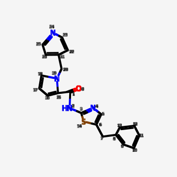 O=C(Nc1ncc(Cc2ccccc2)s1)c1cccn1Cc1ccncc1